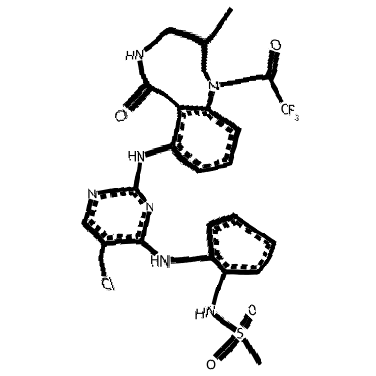 CC1CNC(=O)c2c(Nc3ncc(Cl)c(Nc4ccccc4NS(C)(=O)=O)n3)cccc2N1C(=O)C(F)(F)F